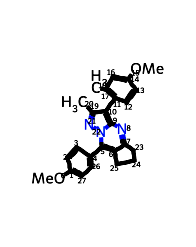 COc1ccc(-c2c3c(nc4c(-c5ccc(OC)cc5C)c(C)nn24)CCC3)cc1